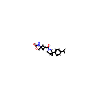 CC(C)c1ccc(C23CC2CN(C(=O)C2CC4(COC(=O)N4)C2)C3)cc1